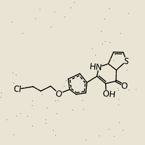 O=C1C(O)=C(c2ccc(OCCCCl)cc2)NC2C=CSC12